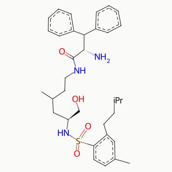 Cc1ccc(S(=O)(=O)N[C@H](CO)CC(C)CCNC(=O)[C@@H](N)C(c2ccccc2)c2ccccc2)c(CCC(C)C)c1